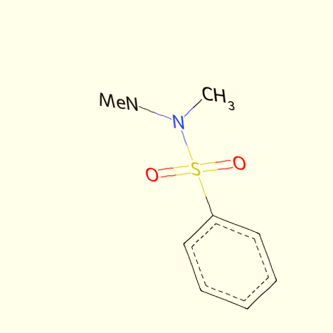 CNN(C)S(=O)(=O)c1ccccc1